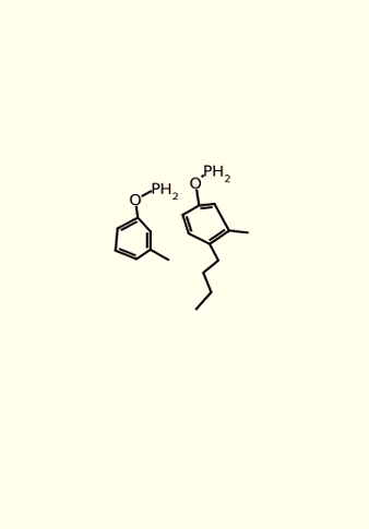 CCCCc1ccc(OP)cc1C.Cc1cccc(OP)c1